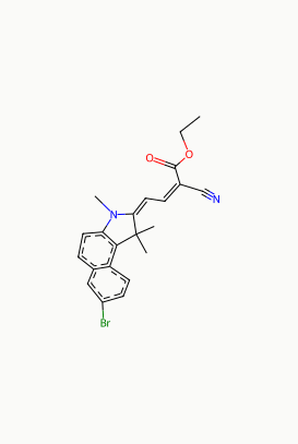 CCOC(=O)/C(C#N)=C\C=C1\N(C)c2ccc3cc(Br)ccc3c2C1(C)C